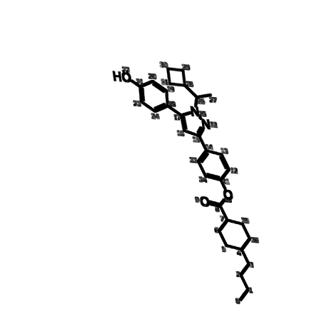 CCCCC1CCC(C(=O)Oc2ccc(-c3cc(-c4ccc(O)cc4)n(C(C)C4CCC4)n3)cc2)CC1